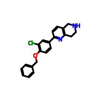 Clc1cc(-c2ccc3c(n2)CCNC3)ccc1OCc1ccccc1